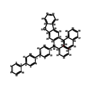 c1ccc(-c2ccc(-c3ccc(N(c4ccccc4)c4cc5oc6ccccc6c5cc4-c4cccc5ccccc45)cc3)cc2)cc1